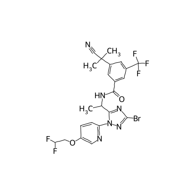 CC(NC(=O)c1cc(C(F)(F)F)cc(C(C)(C)C#N)c1)c1nc(Br)nn1-c1ccc(OCC(F)F)cn1